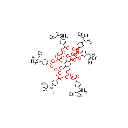 CCC=C(CC)[SiH2]c1ccc(C(=O)OOC(=O)OCCC(COC(=O)OOC(=O)c2ccc([SiH2]C(=CCC)CC)cc2)C(COC(=O)OOC(=O)c2ccc([SiH2]C(=CCC)CC)cc2)C(COC(=O)OOC(=O)c2ccc([SiH2]C(=CCC)CC)cc2)C(CCOC(=O)OOC(=O)c2ccc([SiH2]C(=CCC)CC)cc2)COC(=O)OOC(=O)c2ccc([SiH2]C(=CCC)CC)cc2)cc1